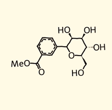 COC(=O)c1cccc(C2O[C@H](CO)[C@@H](O)[C@H](O)[C@@H]2O)c1